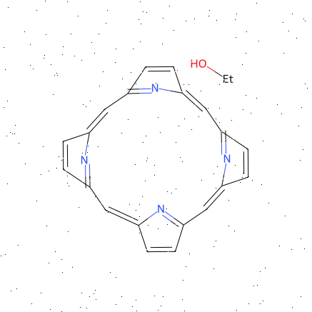 C1=CC2=NC1=CC1=NC(=CC3=NC(=CC4=NC(=C2)C=C4)C=C3)C=C1.CCO